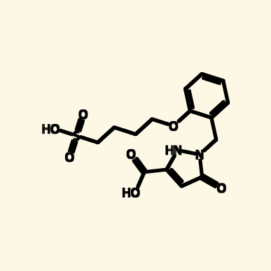 O=C(O)c1cc(=O)n(Cc2ccccc2OCCCCS(=O)(=O)O)[nH]1